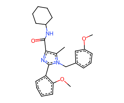 COc1cccc(Cn2c(-c3ccccc3OC)nc(C(=O)NC3CCCCC3)c2C)c1